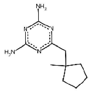 CC1(Cc2nc(N)nc(N)n2)CCCC1